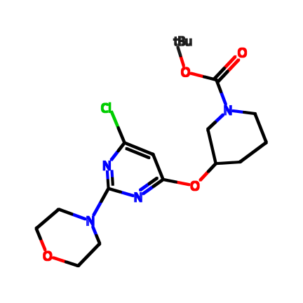 CC(C)(C)OC(=O)N1CCCC(Oc2cc(Cl)nc(N3CCOCC3)n2)C1